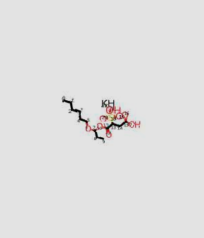 CCCCCCOC(CC)OC(=O)C(CC(=O)O)S(=O)(=O)O.[KH]